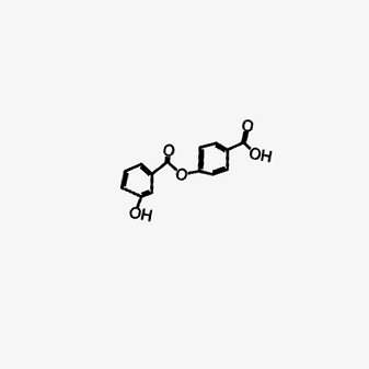 O=C(O)c1ccc(OC(=O)c2cccc(O)c2)cc1